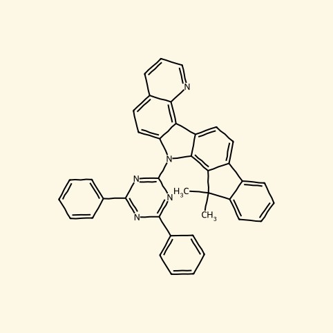 CC1(C)c2ccccc2-c2ccc3c4c5ncccc5ccc4n(-c4nc(-c5ccccc5)nc(-c5ccccc5)n4)c3c21